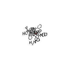 CC(C)(C(=O)N1CCOCC1)S(=O)(=O)C[C@@](CC1CCCCC1)(C(=O)N[C@@H](CC1CCCCC1)[C@@H](O)[C@@H](O)C1CC1)c1nc(CCC(N)=O)c[nH]1